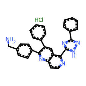 Cl.NCc1ccc(-c2nc3ccnc(-c4nc(-c5ccccc5)n[nH]4)c3cc2-c2ccccc2)cc1